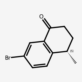 C[C@H]1CCC(=O)c2cc(Br)ccc21